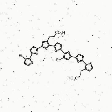 CCc1ccsc1-c1ccc(-c2cc(CCC(=O)O)c(-c3ccc(-c4sc(-c5ccc(-c6sccc6CCC(=O)O)s5)cc4CC)s3)s2)s1